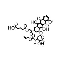 C=CCOC(=O)N[C@H]1C[C@H](O[C@H]2C[C@H](C(=O)COC(=O)CCCC(=O)O)Cc3c(O)c4c(c(O)c32)C(=O)c2c(OC)cccc2C4=O)O[C@@H](C)[C@H]1O